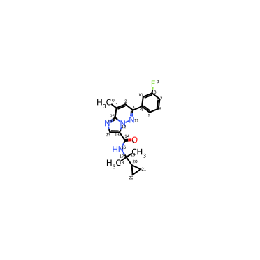 Cc1cc(-c2cccc(F)c2)nn2c(C(=O)NC(C)(C)C3CC3)cnc12